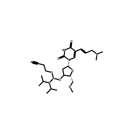 COC[C@H]1O[C@@H](n2cc(/C=C/CN(C)C)c(=O)[nH]c2=O)CC1OP(OCCC#N)N(C(C)C)C(C)C